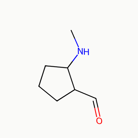 CNC1CCCC1C=O